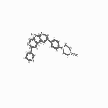 CC(=O)N1CCN(c2ccc(-c3cnc4[nH]c5cnc(-c6cccnc6)cc5c4c3)cc2)CC1